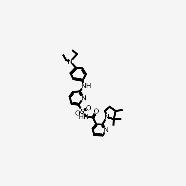 CCN(CC)c1ccc(Nc2cccc(S(=O)(=O)NC(=O)c3cccnc3N3CCC(C)C3(C)C)n2)cc1